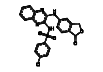 O=C1OCc2cc(Nc3nc4ccccc4nc3NS(=O)(=O)c3ccc(Cl)cc3)ccc21